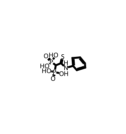 O=P(O)(O)C(C(=S)Nc1ccccc1)P(=O)(O)O